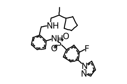 CC(CNCc1ccccc1NS(=O)(=O)c1ccc(-n2cccn2)c(F)c1)C1CCCC1